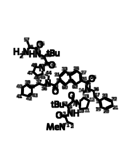 CN[C@@H](C)C(=O)N[C@H](C(=O)N1CCC[C@H]1CN(CCc1ccccc1)C(=O)c1ccc2ccc(C(=O)N(CCc3ccccc3)C[C@@H]3CCCN3C(=O)[C@@H](NC(=O)[C@H](C)N)C(C)(C)C)cc2c1)C(C)(C)C